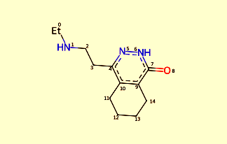 CCNCCc1n[nH]c(=O)c2c1CCCC2